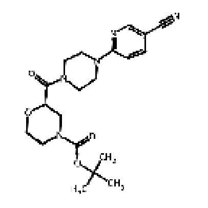 CC(C)(C)OC(=O)N1CCO[C@@H](C(=O)N2CCN(c3ccc(C#N)cn3)CC2)C1